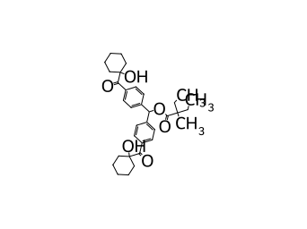 CCC(C)(CC)C(=O)OC(c1ccc(C(=O)C2(O)CCCCC2)cc1)c1ccc(C(=O)C2(O)CCCCC2)cc1